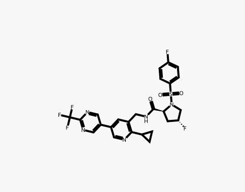 O=C(NCc1cc(-c2cnc(C(F)(F)F)nc2)cnc1C1CC1)[C@@H]1C[C@@H](F)CN1S(=O)(=O)c1ccc(F)cc1